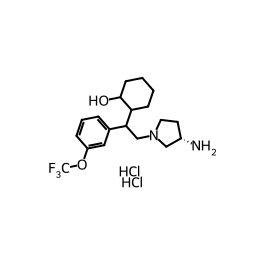 Cl.Cl.N[C@H]1CCN(CC(c2cccc(OC(F)(F)F)c2)C2CCCCC2O)C1